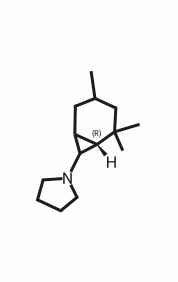 CC1CC2C(N3CCCC3)[C@H]2C(C)(C)C1